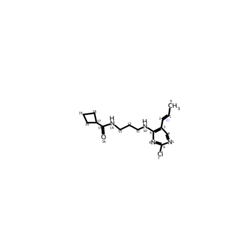 C/C=C/c1cnc(Cl)nc1NCCCNC(=O)C1CCC1